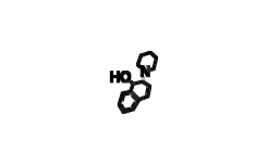 OC1c2ccccc2C=C[C@H]1N1CCCCC1